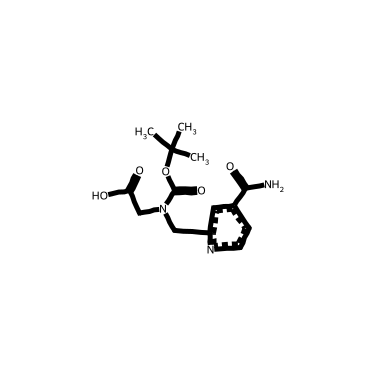 CC(C)(C)OC(=O)N(CC(=O)O)Cc1cc(C(N)=O)ccn1